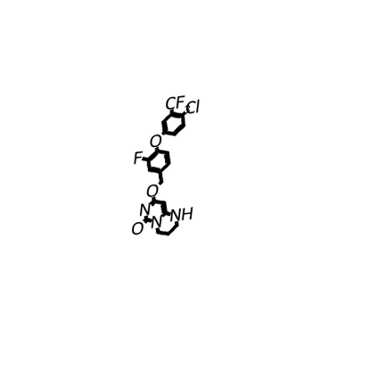 O=c1nc(OCc2ccc(Oc3ccc(Cl)c(C(F)(F)F)c3)c(F)c2)cc2n1CCCN2